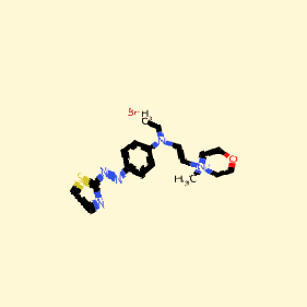 CCN(CC[N+]1(C)CCOCC1)c1ccc(N=Nc2nccs2)cc1.[Br-]